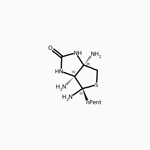 CCCCC[C@]1(N)SC[C@]2(N)NC(=O)N[C@@]21N